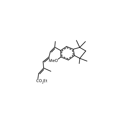 CCOC(=O)/C=C(C)/C=C/C=C(/C)c1cc2c(cc1OC)C(C)(C)CC2(C)C